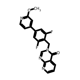 COc1cc(-c2cc(F)c(Cn3cnc4ncccc4c3=O)c(F)c2)ccn1